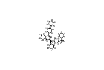 CC1(C)c2ccccc2-c2cc3c(cc21)c1ccccc1n3-c1nc(-c2ccc(-c3ccccc3)cc2)c2c(n1)=CCCC=2